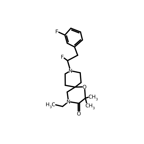 CCN1CC2(CCN(C(F)Cc3cccc(F)c3)CC2)OC(C)(C)C1=O